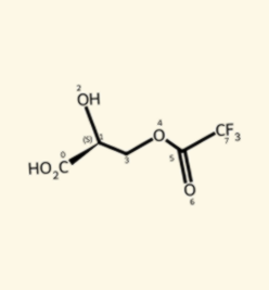 O=C(O)[C@@H](O)COC(=O)C(F)(F)F